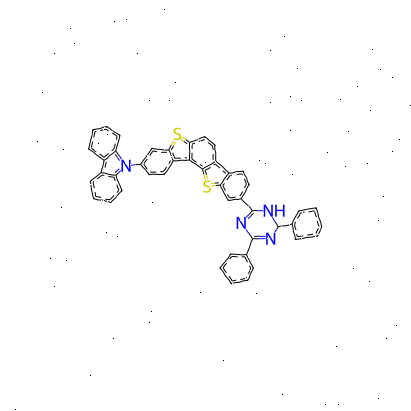 c1ccc(C2=NC(c3ccccc3)NC(c3ccc4c(c3)sc3c4ccc4sc5cc(-n6c7ccccc7c7ccccc76)ccc5c43)=N2)cc1